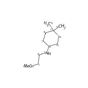 COCCNC1CCC(C)(C)CC1